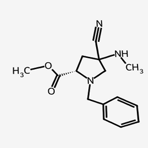 CNC1(C#N)C[C@@H](C(=O)OC)N(Cc2ccccc2)C1